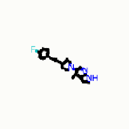 Cc1c(N2CC=C(C#Cc3ccc(F)cc3)CC2)cnc2[nH]ccc12